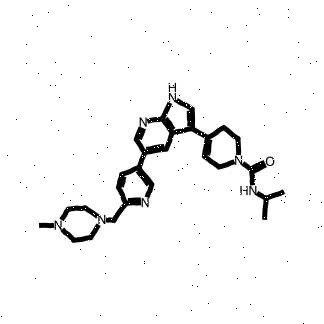 CC(C)NC(=O)N1CC=C(c2c[nH]c3ncc(-c4ccc(CN5CCN(C)CC5)nc4)cc23)CC1